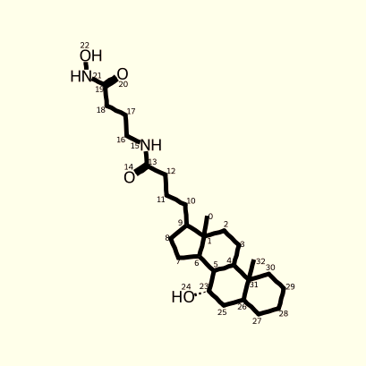 CC12CCC3C(C1CCC2CCCC(=O)NCCCC(=O)NO)[C@@H](O)CC1CCCCC13C